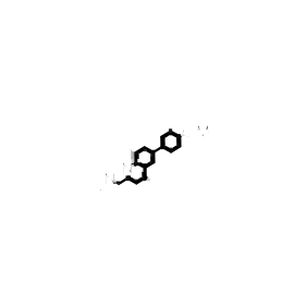 COc1ccc(-c2ccc3[nH]c(CN)cc(=O)c3c2)cc1F